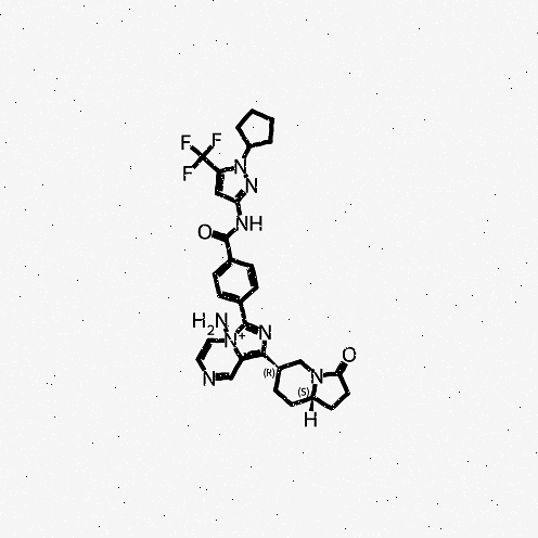 N[N+]12C=CN=CC1=C([C@@H]1CC[C@H]3CCC(=O)N3C1)N=C2c1ccc(C(=O)Nc2cc(C(F)(F)F)n(C3CCCC3)n2)cc1